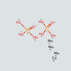 O=P(O)(O)O.O=P(O)(O)O.[Co].[Mn].[Mn].[Mn]